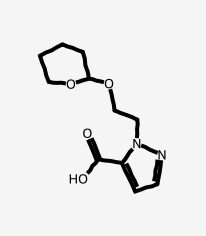 O=C(O)c1ccnn1CCOC1CCCCO1